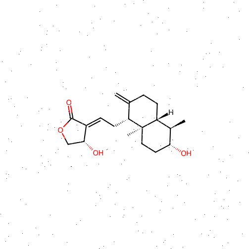 C=C1CC[C@@H]2[C@@H](C)[C@H](O)CC[C@@]2(C)[C@@H]1C/C=C1/C(=O)OC[C@H]1O